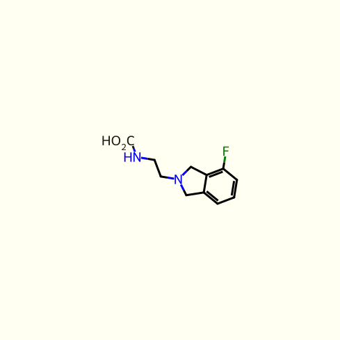 O=C(O)NCCN1Cc2cccc(F)c2C1